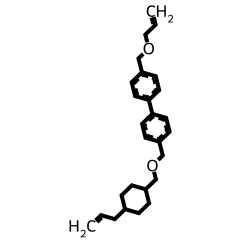 C=CCOCc1ccc(-c2ccc(COCC3CCC(CC=C)CC3)cc2)cc1